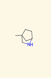 CC12CCC(C1)NC2